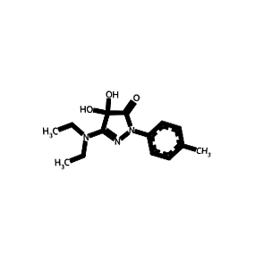 CCN(CC)C1=NN(c2ccc(C)cc2)C(=O)C1(O)O